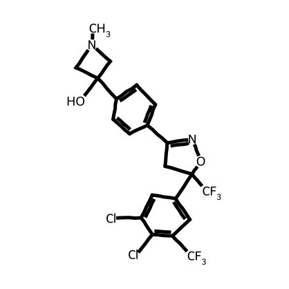 CN1CC(O)(c2ccc(C3=NOC(c4cc(Cl)c(Cl)c(C(F)(F)F)c4)(C(F)(F)F)C3)cc2)C1